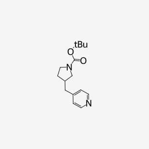 CC(C)(C)OC(=O)N1CCC(Cc2ccncc2)C1